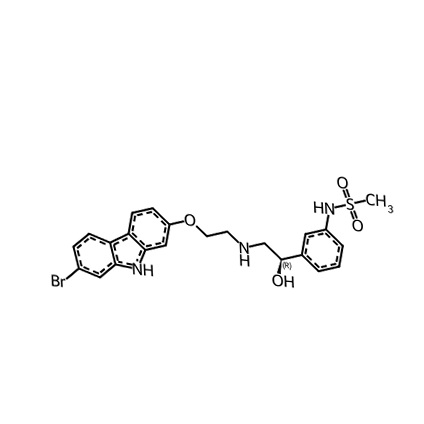 CS(=O)(=O)Nc1cccc([C@@H](O)CNCCOc2ccc3c(c2)[nH]c2cc(Br)ccc23)c1